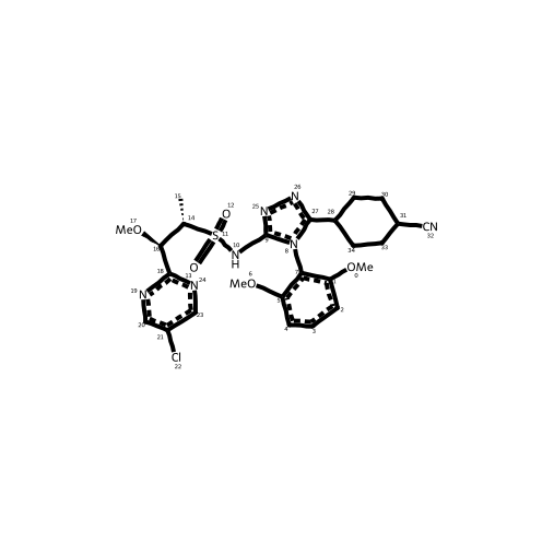 COc1cccc(OC)c1-n1c(NS(=O)(=O)[C@@H](C)[C@H](OC)c2ncc(Cl)cn2)nnc1C1CCC(C#N)CC1